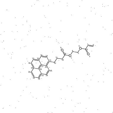 C=CC(=O)OCCOC(=O)CCCc1ccc2ccc3cccc4ccc1c2c34